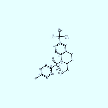 NCC1CCc2cc(C(O)(C(F)(F)F)C(F)(F)F)ccc2N1S(=O)(=O)c1ccc(F)cc1